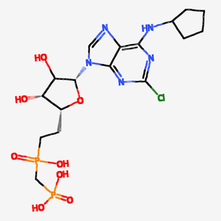 O=P(O)(O)CP(=O)(O)CC[C@H]1O[C@@H](n2cnc3c(NC4CCCC4)nc(Cl)nc32)C(O)[C@H]1O